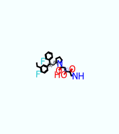 CCc1cc([C@H](C[C@H]2CCCN2C(=O)/C=C(\O)C(=O)C=N)c2ccccc2F)ccc1F